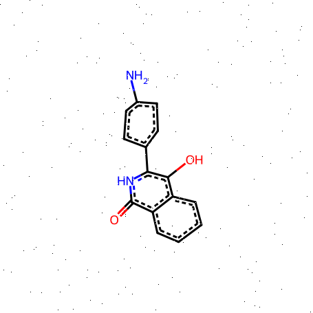 Nc1ccc(-c2[nH]c(=O)c3ccccc3c2O)cc1